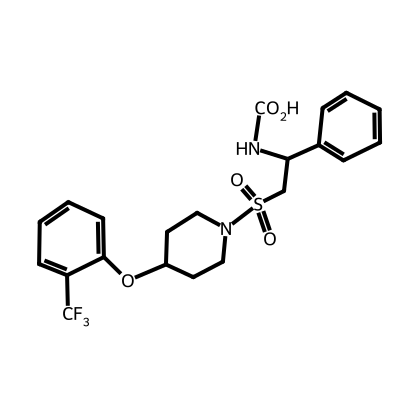 O=C(O)NC(CS(=O)(=O)N1CCC(Oc2ccccc2C(F)(F)F)CC1)c1ccccc1